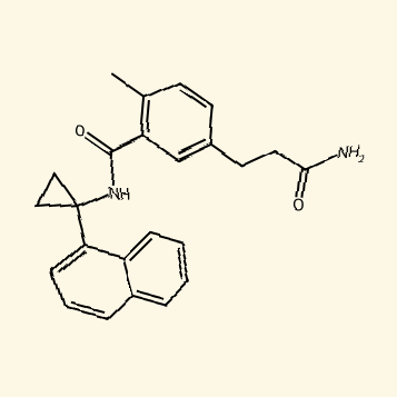 Cc1ccc(CCC(N)=O)cc1C(=O)NC1(c2cccc3ccccc23)CC1